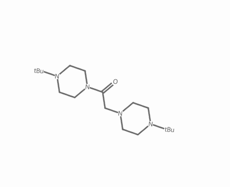 CC(C)(C)N1CCN(CC(=O)N2CCN(C(C)(C)C)CC2)CC1